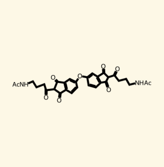 CC(=O)NCCCC(=O)C1C(=O)c2ccc(Oc3ccc4c(c3)C(=O)C(C(=O)CCCNC(C)=O)C4=O)cc2C1=O